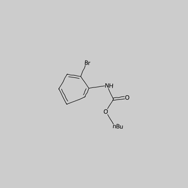 CCCCOC(=O)Nc1ccccc1Br